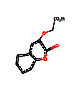 CCOC(=O)COc1cc2ccccc2oc1=O